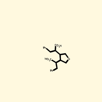 CC(C)CC(C(=O)O)C1COCC1C(CC(C)C)C(=O)O